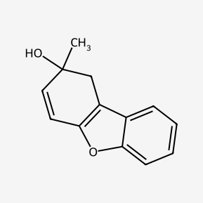 CC1(O)C=Cc2oc3ccccc3c2C1